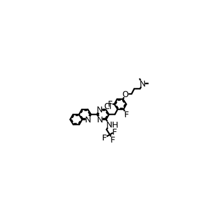 CN(C)CCCOc1cc(F)c(Cc2c(Cl)nc(-c3ccc4ccccc4n3)nc2NCC(F)(F)F)c(F)c1